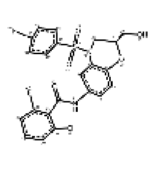 O=C(Nc1ccc2c(c1)N(S(=O)(=O)c1ccc(F)cc1)C[C@@H](CO)O2)c1c(F)cccc1Cl